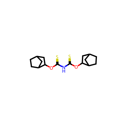 S=C(NC(=S)OC1CC2CCC1C2)OC1CC2CCC1C2